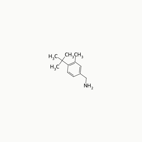 Cc1cc(CN)ccc1C(C)(C)C